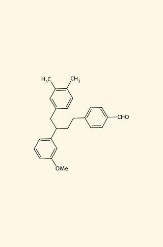 COc1cccc(C(CCc2ccc(C=O)cc2)Cc2ccc(C)c(C)c2)c1